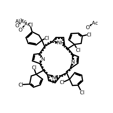 CC(=O)[O-].CC(=O)[O-].CC(=O)[O-].ClC1=CC=CC(Cl)(c2c3nc(c(C4(Cl)C=CC=C(Cl)C4)c4ccc([nH]4)c(C4(Cl)C=CC=C(Cl)C4)c4nc(c(C5(Cl)C=CC=C(Cl)C5)c5ccc2[nH]5)C=C4)C=C3)C1.[Al+3]